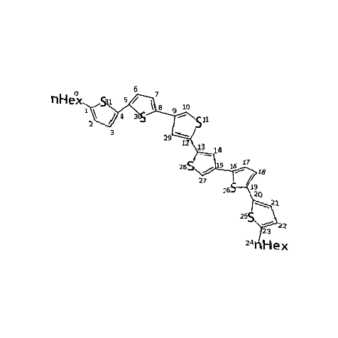 CCCCCCc1ccc(-c2ccc(-c3csc(-c4cc(-c5ccc(-c6ccc(CCCCCC)s6)s5)cs4)c3)s2)s1